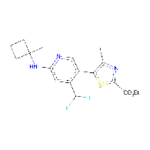 CCOC(=O)c1nc(C)c(-c2cnc(NC3(C)CCC3)cc2C(F)F)s1